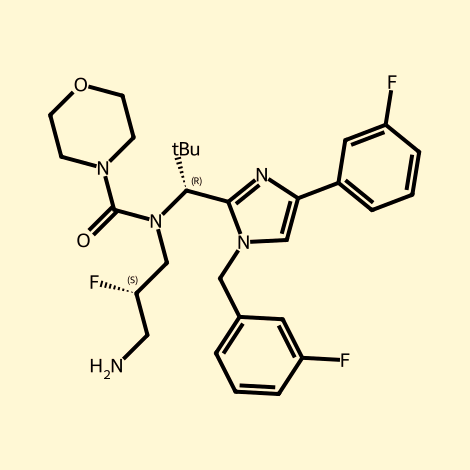 CC(C)(C)[C@H](c1nc(-c2cccc(F)c2)cn1Cc1cccc(F)c1)N(C[C@@H](F)CN)C(=O)N1CCOCC1